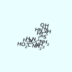 NC(C[C@@H]1SC[C@@H]2NC(=O)N[C@@H]21)C(N)(N)C(N)(N)C(=O)O